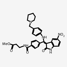 COC(=O)CCNC(=O)c1ccc(C(Nc2ccc(CN3CCCCC3)cc2)=C2C(=O)Nc3ccc([N+](=O)[O-])cc32)cc1